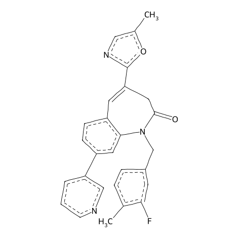 Cc1cnc(C2=Cc3ccc(-c4cccnc4)cc3N(Cc3ccc(C)c(F)c3)C(=O)C2)o1